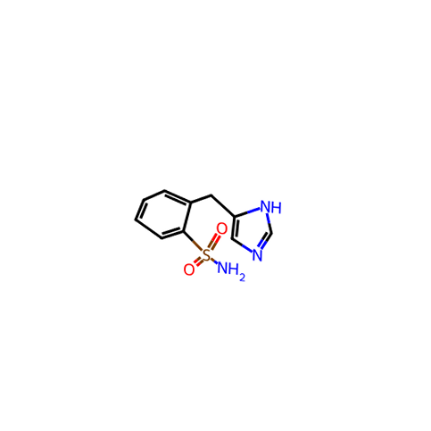 NS(=O)(=O)c1ccccc1Cc1cnc[nH]1